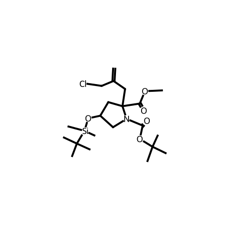 C=C(CCl)CC1(C(=O)OC)CC(O[Si](C)(C)C(C)(C)C)CN1C(=O)OC(C)(C)C